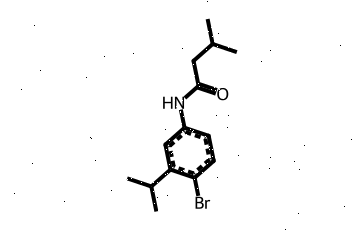 CC(C)CC(=O)Nc1ccc(Br)c(C(C)C)c1